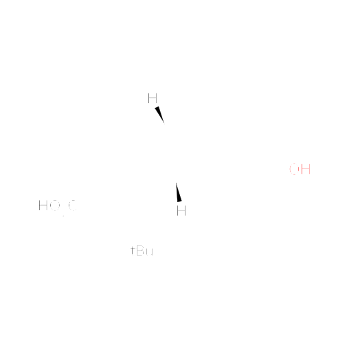 CC(C)(C)/C(C(=O)O)=C1/C[C@@H]2CC(CO)=C[C@H]12